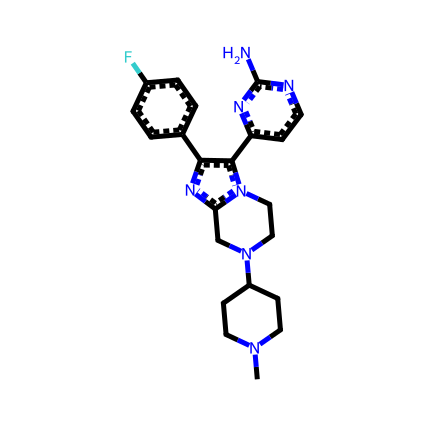 CN1CCC(N2CCn3c(nc(-c4ccc(F)cc4)c3-c3ccnc(N)n3)C2)CC1